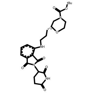 CC(C)(C)OC(=O)N1CCO[C@H](CCCNc2cccc3c2C(=O)N(C2CCC(=O)NC2=O)C3=O)C1